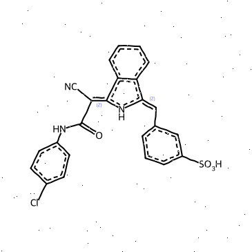 N#C/C(C(=O)Nc1ccc(Cl)cc1)=c1/[nH]/c(=C\c2cccc(S(=O)(=O)O)c2)c2ccccc12